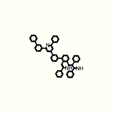 N=C(/C(=C1\NC(c2ccccc2)=Cc2c1cccc2-c1cccc(-c2cc(-c3ccccc3)nc(-c3cccc(-c4ccccc4)c3)c2)c1)c1ccccc1)c1ccccc1